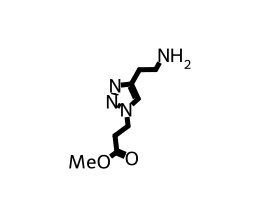 COC(=O)CCn1cc(CCN)nn1